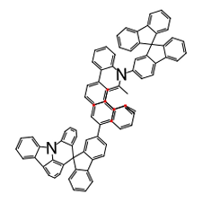 C=Cc1cc(-c2ccc3c(c2)C2(c4ccccc4-3)c3ccccc3-n3c4ccccc4c4cccc2c43)ccc1/C=C(\C)N(c1ccc2c(c1)C1(c3ccccc3-c3ccccc31)c1ccccc1-2)c1ccccc1-c1cccc(-c2ccccc2)c1